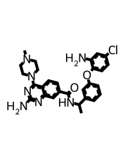 CC(NC(=O)c1ccc2c(N3CCN(C)CC3)nc(N)nc2c1)c1cccc(Oc2ccc(Cl)cc2N)c1